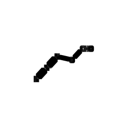 [N-]=[N+]=NOC=O